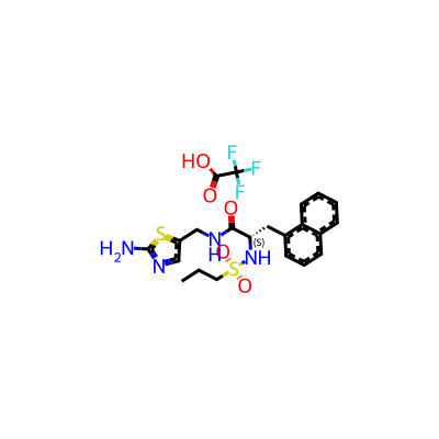 CCCS(=O)(=O)N[C@@H](Cc1cccc2ccccc12)C(=O)NCc1cnc(N)s1.O=C(O)C(F)(F)F